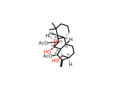 C=C1[C@@H](OC(C)=O)[C@]23C(O)[C@H]1CC[C@H]2[C@]12CCCC(C)(C)[C@H]1[C@H](OC(C)=O)[C@@]3(O)OC2